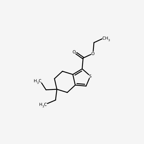 CCOC(=O)c1scc2c1CCC(CC)(CC)C2